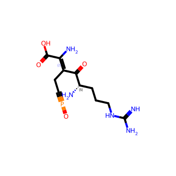 N=C(N)NCCC[C@H](N)C(=O)/C(CC#P=O)=C(\N)C(=O)O